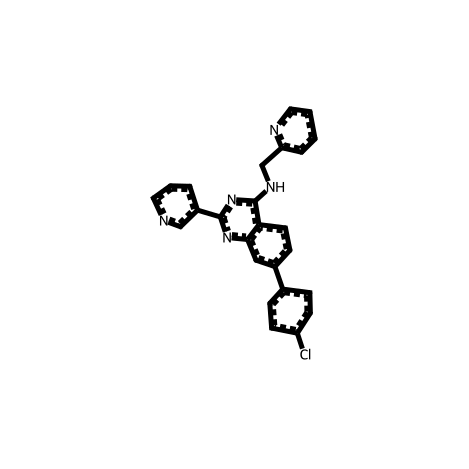 Clc1ccc(-c2ccc3c(NCc4ccccn4)nc(-c4cccnc4)nc3c2)cc1